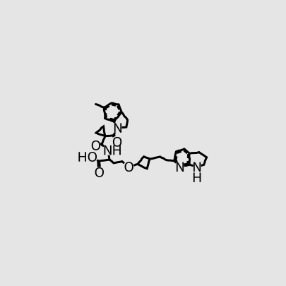 Cc1ccc2c(c1)N(C(=O)C1(C(=O)NC(CCOC3CC(CCc4ccc5c(n4)NCCC5)C3)C(=O)O)CC1)CC2